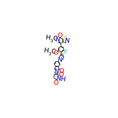 COc1cc(-c2cn(C)c(=O)c3sncc23)cc(F)c1[C@H]1CCN(c2ccc3c(c2)C(=O)N([C@H]2CCC(=O)NC2=O)C3)C1